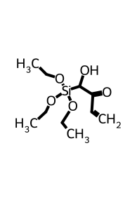 C=CC(=O)C(O)[Si](OCC)(OCC)OCC